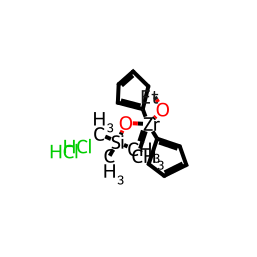 C[CH]=[Zr]([O]CC)([O][Si](C)(C)C)([C]1=CC=CC1)[C]1=CC=CC1.Cl.Cl